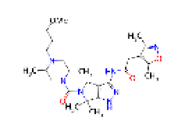 COCCCN1C[C@H](C)N(C(=O)N2Cc3c(NC(=O)Cc4c(C)noc4C)n[nH]c3C2(C)C)C[C@H]1C